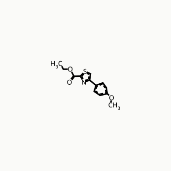 CCOC(=O)c1nc(-c2ccc(OC)cc2)cs1